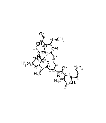 C=C/C=C\C(=C)CC(C(=O)NC(COCCO)CC(=O)N(C)C(CC(C)C)C(=O)NC(CC)C(=O)N(CC=O)CCC)N(C)C=O